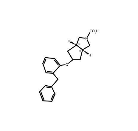 O=C(O)N1C[C@H]2CC(Oc3ccccc3Cc3ccccc3)C[C@H]2C1